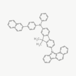 CC1(C)c2cc(N(c3ccccc3)c3ccc(-c4ccc5ccccc5c4)cc3)ccc2-c2ccc(-n3c4ccccc4c4ccc5ccccc5c43)cc21